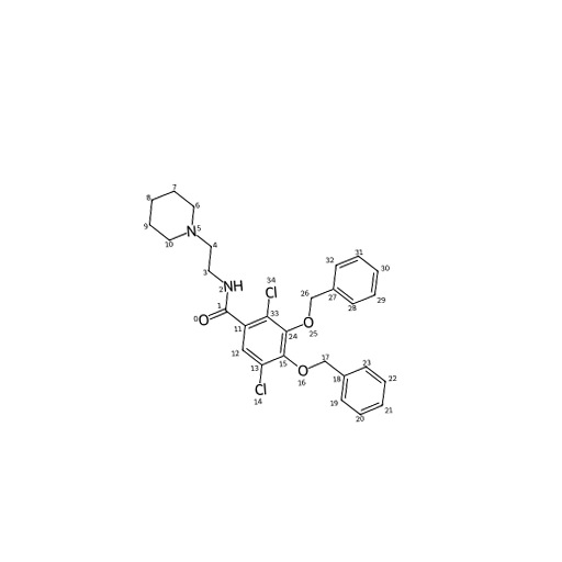 O=C(NCCN1CCCCC1)c1cc(Cl)c(OCc2ccccc2)c(OCc2ccccc2)c1Cl